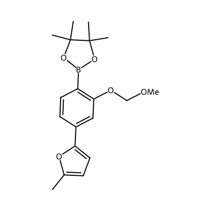 COCOc1cc(-c2ccc(C)o2)ccc1B1OC(C)(C)C(C)(C)O1